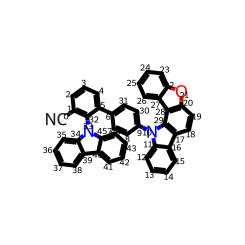 N#Cc1cccc(-c2ccc(-n3c4ccccc4c4ccc5oc6ccccc6c5c43)cc2)c1-n1c2ccccc2c2ccccc21